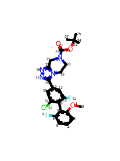 COc1cccc(F)c1-c1c(F)cc(-c2nnc3n2CCN(C(=O)OC(C)(C)C)C3)cc1Cl